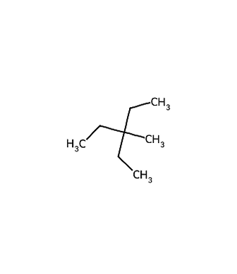 CCC(C)(CC)CC